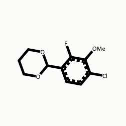 COc1c(Cl)ccc(C2OCCCO2)c1F